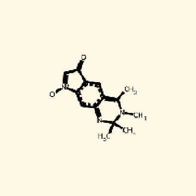 CC1=c2cc3c(cc2=NC(C)(C)N1C)[N+]([O-])=CC3=O